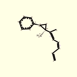 C=C/C=C\C=C(/C)[C@]1(N)C[C@@H]1c1ccccc1